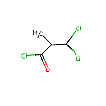 CC(C(=O)Cl)C(Cl)Cl